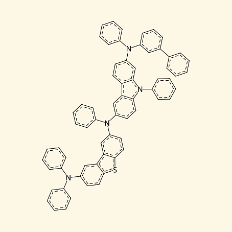 c1ccc(-c2cccc(N(c3ccccc3)c3ccc4c5cc(N(c6ccccc6)c6ccc7sc8ccc(N(c9ccccc9)c9ccccc9)cc8c7c6)ccc5n(-c5ccccc5)c4c3)c2)cc1